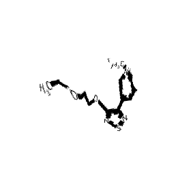 CCOCCOc1nsnc1-c1ccc[n+](C)c1.[I-]